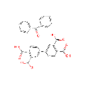 O=C(O)c1ccc(-c2ccc(C(=O)O)c(C(=O)O)c2)cc1C(=O)O.O=C(c1ccccc1)c1ccccc1